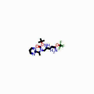 CC(c1ncccn1)N(C/C(N)=C/C=C(\N)OC(F)(F)F)C(=O)OC(C)(C)C